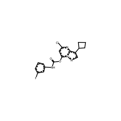 O=C(Nc1cccc(F)c1)Oc1cc(Cl)nc2c(C3CCC3)cnn12